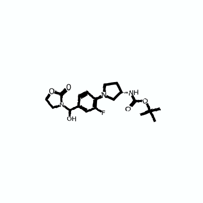 CC(C)(C)OC(=O)N[C@H]1CCN(c2ccc(C(O)N3CCOC3=O)cc2F)C1